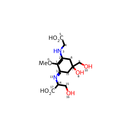 COC1=C(NCC(=O)O)CC(O)(CO)C/C1=N\C(CO)C(=O)O